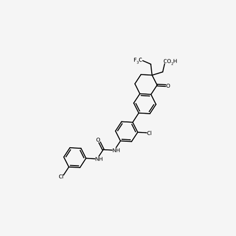 O=C(O)CC1(CC(F)(F)F)CCc2cc(-c3ccc(NC(=O)Nc4cccc(Cl)c4)cc3Cl)ccc2C1=O